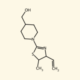 C=CC1N=C(N2CCC(CO)CC2)SC1C